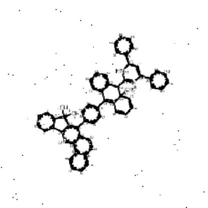 CC1(C)c2ccccc2-c2nc3c(ccc4ccccc43)c(-c3ccc(C4=C5C=CC=CC5(C)C(C5=NC(c6ccccc6)=CC(c6ccccc6)N5)c5ccccc54)cc3)c21